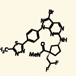 CNC(=O)[C@]1(CC(F)F)CC[C@@H](Nc2ncc3c(Br)nn(-c4ccc(-c5nnc(C)s5)cc4)c3n2)C1